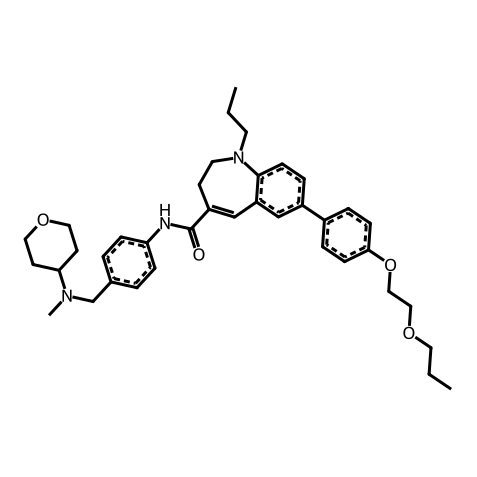 CCCOCCOc1ccc(-c2ccc3c(c2)C=C(C(=O)Nc2ccc(CN(C)C4CCOCC4)cc2)CCN3CCC)cc1